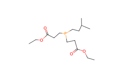 CCOC(=O)CCP(CCC(=O)OCC)CCC(C)C